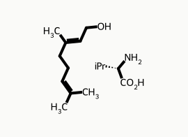 CC(C)=CCCC(C)=CCO.CC(C)[C@H](N)C(=O)O